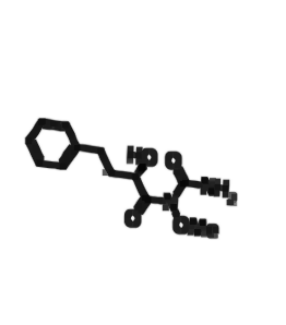 CON(C(N)=O)C(=O)[C@H](O)[CH]Cc1ccccc1